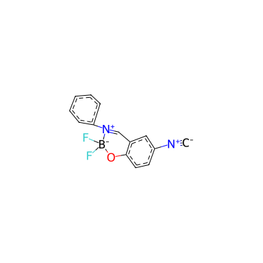 [C-]#[N+]c1ccc2c(c1)C=[N+](c1ccccc1)[B-](F)(F)O2